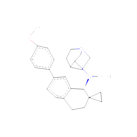 O=C(O)N(C1CN2CCC1CC2)[C@@H]1c2cc(-c3ccc(OC(F)(F)F)cc3)ccc2CCC12CC2